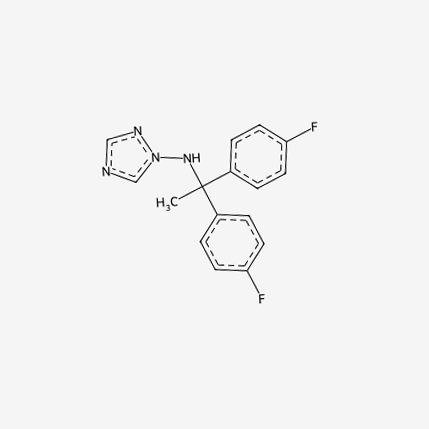 CC(Nn1cncn1)(c1ccc(F)cc1)c1ccc(F)cc1